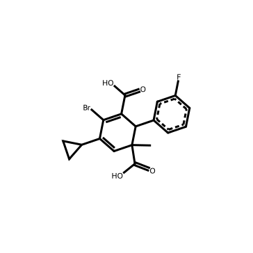 CC1(C(=O)O)C=C(C2CC2)C(Br)=C(C(=O)O)C1c1cccc(F)c1